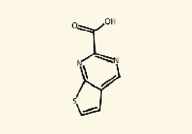 O=C(O)c1ncc2ccsc2n1